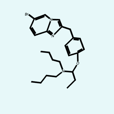 CCCCN(CCCC)C(CC)Oc1ccc(Cc2cn3cc(Br)ccc3n2)cc1